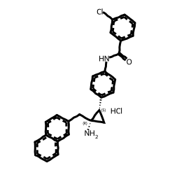 Cl.N[C@@]1(Cc2ccc3ccccc3c2)C[C@H]1c1ccc(NC(=O)c2cccc(Cl)c2)cc1